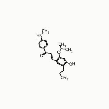 CCCc1cc(C=CC(=O)c2ccc(NC)cc2)c(OC(C)C)cc1O